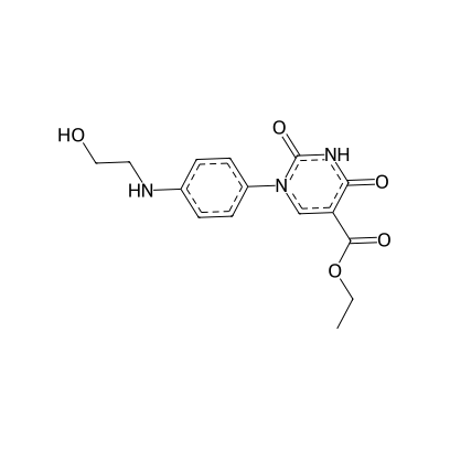 CCOC(=O)c1cn(-c2ccc(NCCO)cc2)c(=O)[nH]c1=O